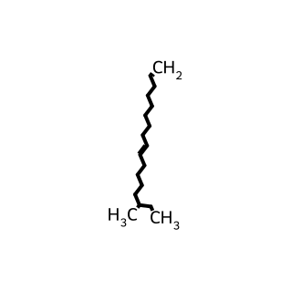 C=CCCCCCC/C=C/CCCCC(C)CC